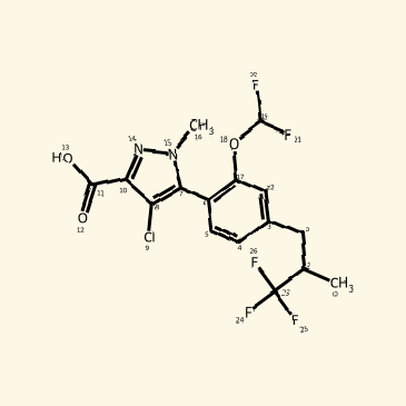 CC(Cc1ccc(-c2c(Cl)c(C(=O)O)nn2C)c(OC(F)F)c1)C(F)(F)F